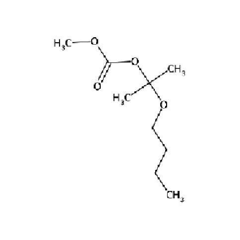 CCCCOC(C)(C)OC(=O)OC